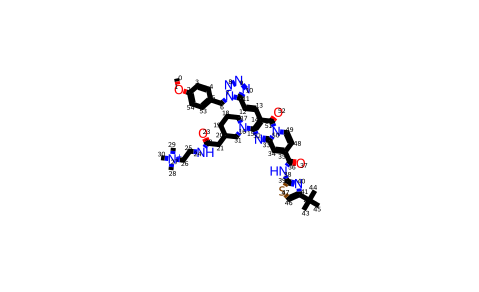 COc1ccc(Cn2nnnc2/C=C/c2c(N3CCCC(CC(=O)NCC[N+](C)(C)C)C3)nc3cc(C(=O)Nc4nc(C(C)(C)C)cs4)ccn3c2=O)cc1